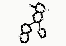 O=c1cc[nH]c2nc(-n3nccn3)c(-c3ccc4ncccc4c3)cc12